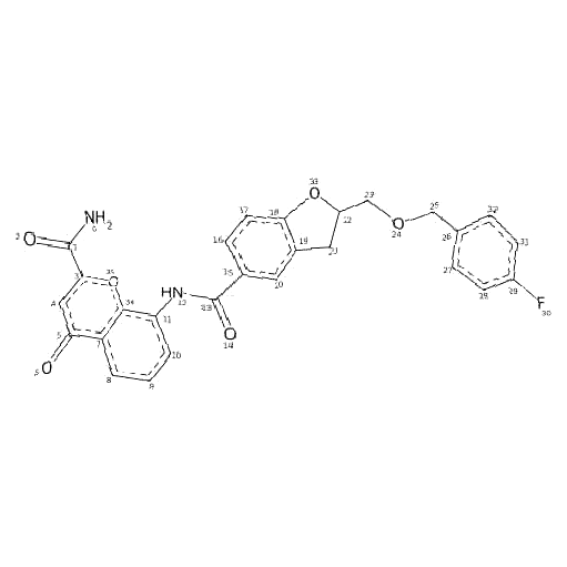 NC(=O)c1cc(=O)c2cccc(NC(=O)c3ccc4c(c3)CC(COCc3ccc(F)cc3)O4)c2o1